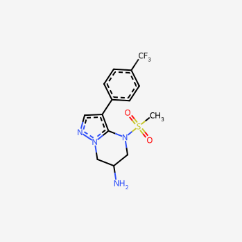 CS(=O)(=O)N1CC(N)Cn2ncc(-c3ccc(C(F)(F)F)cc3)c21